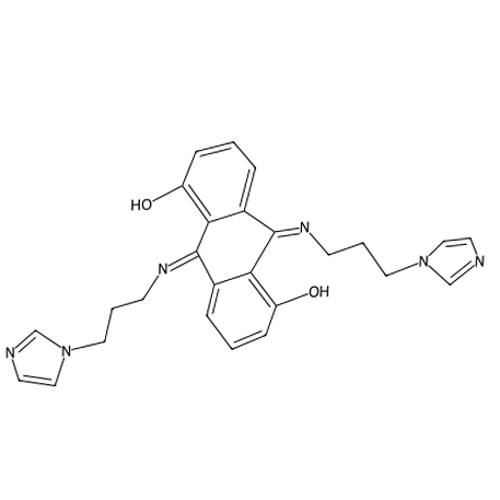 Oc1cccc2c1/C(=N\CCCn1ccnc1)c1cccc(O)c1/C2=N/CCCn1ccnc1